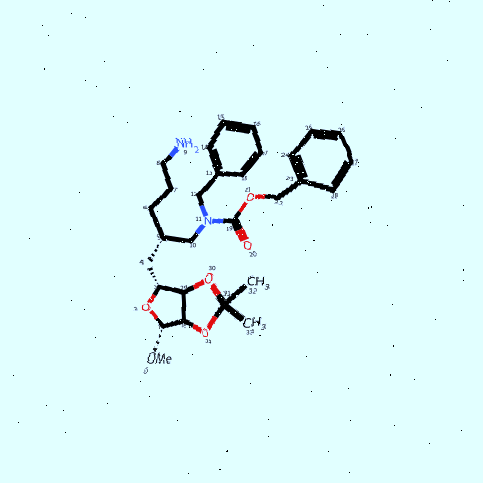 CO[C@@H]1O[C@H](C[C@H](CCCN)CN(Cc2ccccc2)C(=O)OCc2ccccc2)C2OC(C)(C)OC21